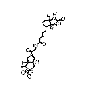 C=C1[C@H]2CN(C(=O)CNC(=O)CCCC[C@@H]3SC[C@@H]4NC(=O)N[C@@H]43)C[C@@H]2CSS1(=O)=O